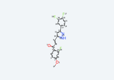 COc1ccc(C(=O)C=Cc2cc(-c3ccc(F)c(F)c3)n[nH]2)c(F)c1